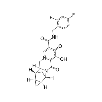 O=C(NCc1ccc(F)cc1F)c1cn2c(c(O)c1=O)C(=O)N1[C@H](C2)[C@@H]2C[C@H]1[C@H]1C[C@@H]21